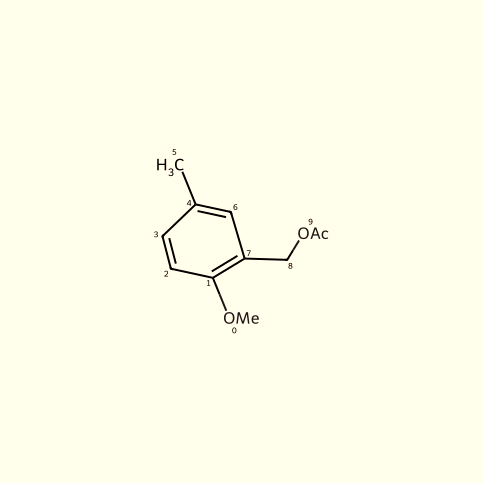 COc1ccc(C)cc1COC(C)=O